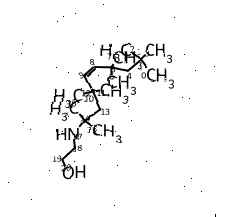 CC(C)(C)CC(C)(C)/C=C\C(C)(C)CC(C)(C)NCCO